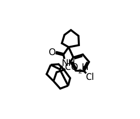 O=C(O)C12CC3CC(C1)C(NC(=O)C1(c4ccc(Cl)cc4)CCCCC1)C(C3)C2